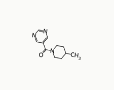 CC1CCN(C(=O)c2cncnc2)CC1